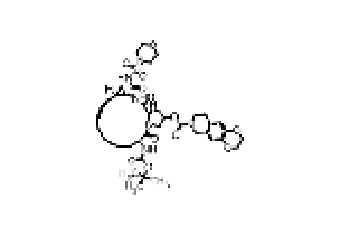 CC(C)(C)OC(=O)N[C@H]1CCCCCC=C=C[C@@H]2C[C@@]2(C(=O)NS(=O)(=O)N2CCOCC2)NC(=O)[C@@H]2C[C@@H](OC(=O)N3CCc4cc5c(cc4C3)OCCO5)CN2C1=O